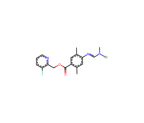 CCN(C)/C=N/c1cc(C)c(C(=O)OCc2ncccc2F)cc1C